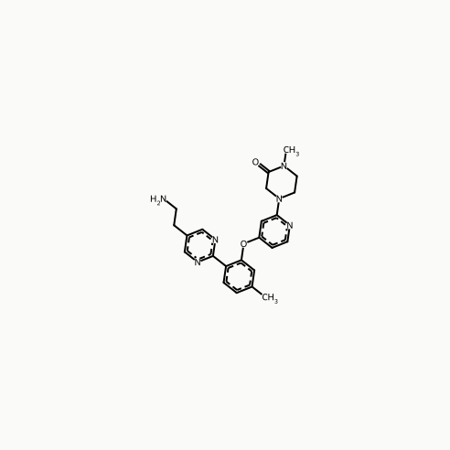 Cc1ccc(-c2ncc(CCN)cn2)c(Oc2ccnc(N3CCN(C)C(=O)C3)c2)c1